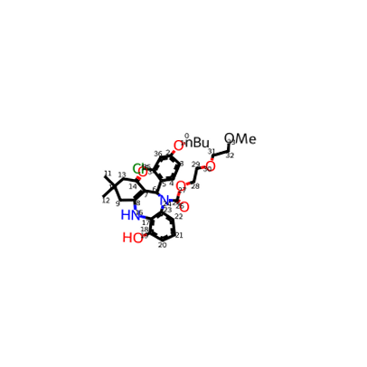 CCCCOc1ccc(C2C3=C(CC(C)(C)CC3=O)Nc3c(O)cccc3N2C(=O)OCCOCCOC)c(Cl)c1